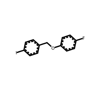 Fc1ccc(OCc2ccc(I)cc2)cc1